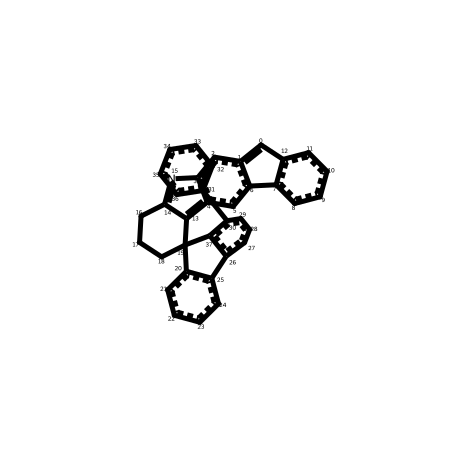 C1=c2cc3c(cc2-c2ccccc21)=C1C(=N3)CCCC12c1ccccc1-c1cccc(-c3ccccc3)c12